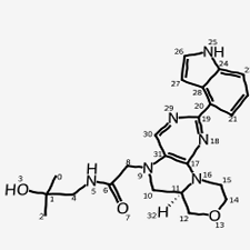 CC(C)(O)CNC(=O)CN1C[C@@H]2COCCN2c2nc(-c3cccc4[nH]ccc34)ncc21